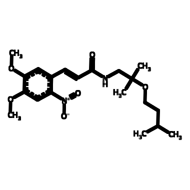 COc1cc(/C=C/C(=O)NCC(C)(C)OCCC(C)C)c([N+](=O)[O-])cc1OC